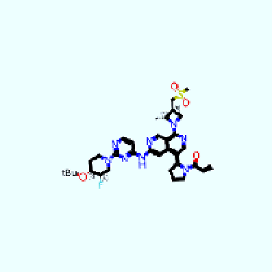 C=CC(=O)N1CCCC1c1cnc(N2C[C@H](CS(C)(=O)=O)[C@H]2C)c2cnc(Nc3ccnc(N4CC[C@@H](OC(C)(C)C)[C@@H](F)C4)n3)cc12